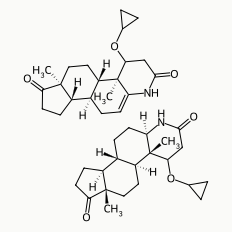 C[C@]12C(OC3CC3)CC(=O)N[C@@H]1CC[C@@H]1[C@@H]2CC[C@]2(C)C(=O)CC[C@@H]12.C[C@]12CC[C@H]3[C@@H](CC=C4NC(=O)CC(OC5CC5)[C@@]43C)[C@@H]1CCC2=O